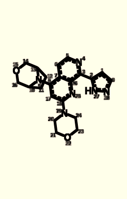 c1cc(-c2nccc3c(N4C5CCC4COC5)cc(N4CCOCC4)nc23)[nH]n1